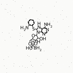 B[PH]1(O)OCC2OC(N3c4ncnc(N)c4NC3Sc3ccccc3N)C(O)[C@@H]2O1